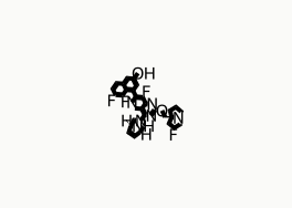 Oc1cc(-c2ncc3c(N4C[C@H]5C=C[C@@H](C4)N5)nc(OC[C@@]45CCCN4C[C@H](F)C5)nc3c2F)c2c(F)c(F)ccc2c1